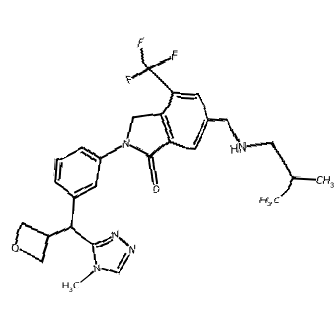 CC(C)CNCc1cc2c(c(C(F)(F)F)c1)CN(c1cccc(C(c3nncn3C)C3COC3)c1)C2=O